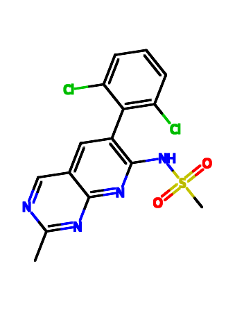 Cc1ncc2cc(-c3c(Cl)cccc3Cl)c(NS(C)(=O)=O)nc2n1